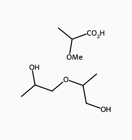 CC(O)COC(C)CO.COC(C)C(=O)O